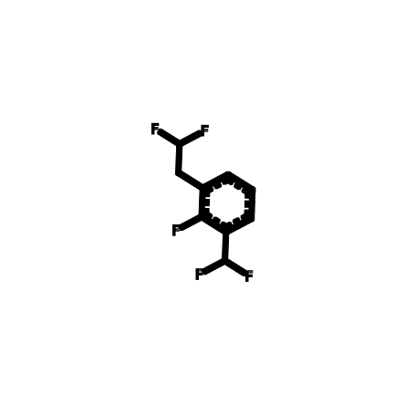 Fc1c(CC(F)F)cccc1C(F)F